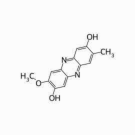 COc1cc2nc3cc(O)c(C)cc3nc2cc1O